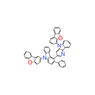 c1ccc(-c2ccc3c(c2-c2cnc4c5ccccc5n(-c5cccc6c5oc5ccccc56)c4c2)c2ccccc2n3-c2ccc3oc4ccccc4c3c2)cc1